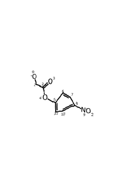 [O]CC(=O)Oc1ccc([N+](=O)[O-])cc1